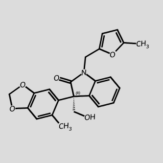 Cc1ccc(CN2C(=O)[C@](CO)(c3cc4c(cc3C)OCO4)c3ccccc32)o1